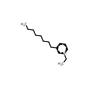 CCCCCCCCc1ccc[n+](CC)c1